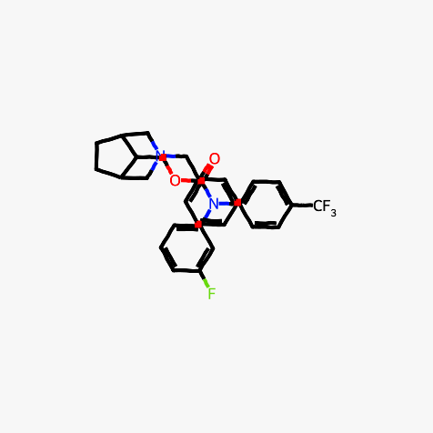 O=C(OCC1C2CCC1CN(Cc1ccccc1)C2)N(c1ccc(C(F)(F)F)cc1)c1cccc(F)c1